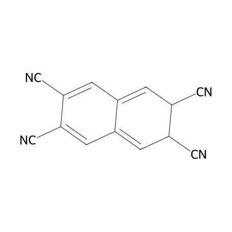 N#Cc1cc2c(cc1C#N)=CC(C#N)C(C#N)C=2